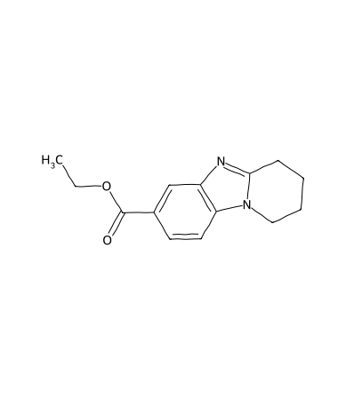 CCOC(=O)c1ccc2c(c1)nc1n2CCCC1